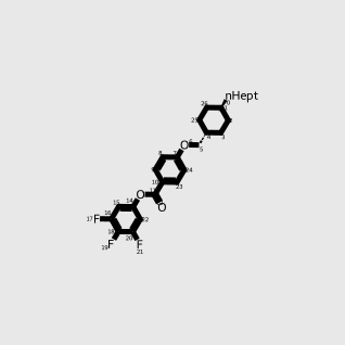 CCCCCCC[C@H]1CC[C@H](COc2ccc(C(=O)Oc3cc(F)c(F)c(F)c3)cc2)CC1